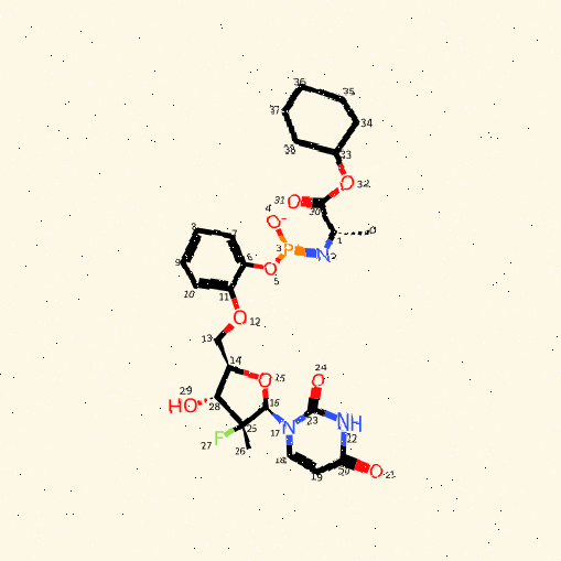 C[C@H](/N=[P+](\[O-])Oc1ccccc1OC[C@H]1O[C@@H](n2ccc(=O)[nH]c2=O)[C@](C)(F)[C@@H]1O)C(=O)OC1CCCCC1